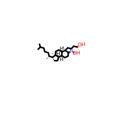 CC(C)CCC[C@@H](C)[C@H]1CC[C@H]2[C@@H]3CCC(=NO)[C@](C)(CCCCO)[C@H]3CC[C@]12C